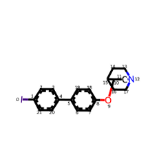 Ic1ccc(-c2ccc(OC3CN4CCC3CC4)cc2)cc1